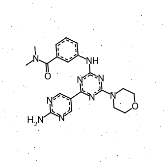 CN(C)C(=O)c1cccc(Nc2nc(-c3cnc(N)nc3)nc(N3CCOCC3)n2)c1